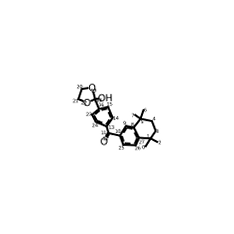 CC1(C)CCC(C)(C)c2cc(C(=O)c3ccc(C4(O)OCCO4)cc3)ccc21